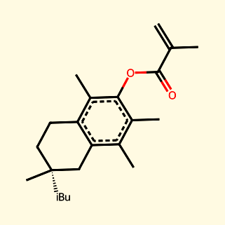 C=C(C)C(=O)Oc1c(C)c(C)c2c(c1C)CC[C@@](C)(C(C)CC)C2